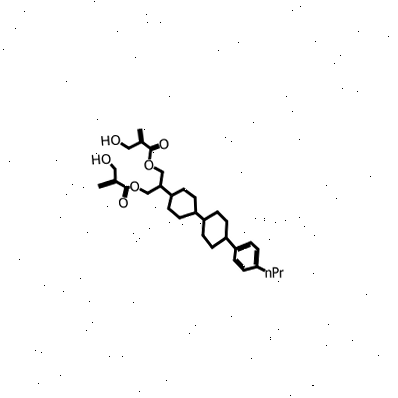 C=C(CO)C(=O)OCC(COC(=O)C(=C)CO)C1CCC(C2CCC(c3ccc(CCC)cc3)CC2)CC1